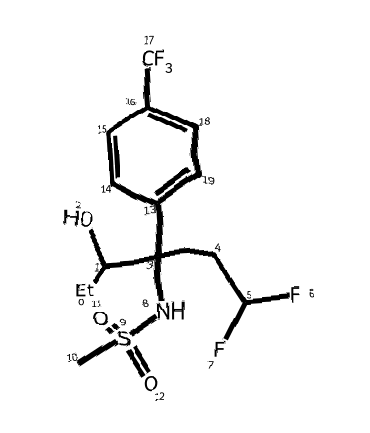 CCC(O)C(CC(F)F)(NS(C)(=O)=O)c1ccc(C(F)(F)F)cc1